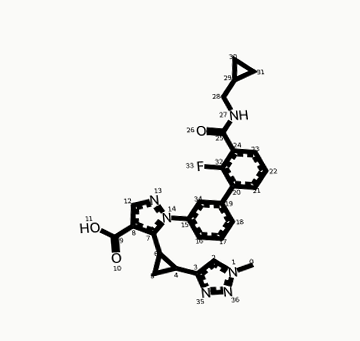 Cn1cc(C2CC2c2c(C(=O)O)cnn2-c2cccc(-c3cccc(C(=O)NCC4CC4)c3F)c2)nn1